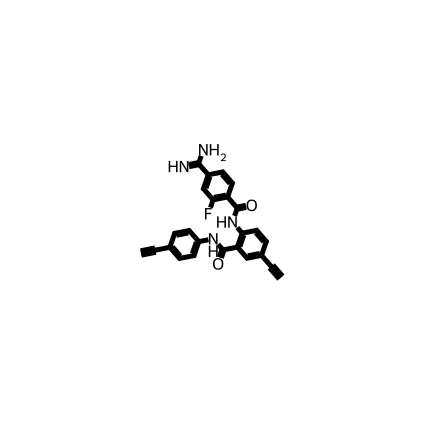 C#Cc1ccc(NC(=O)c2cc(C#C)ccc2NC(=O)c2ccc(C(=N)N)cc2F)cc1